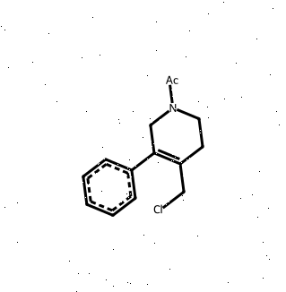 CC(=O)N1CCC(CCl)=C(c2ccccc2)C1